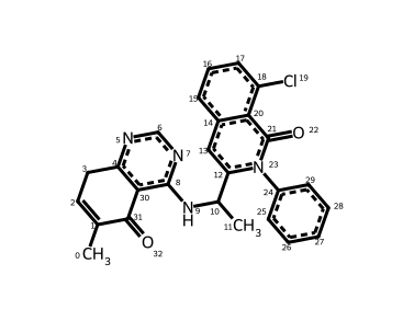 CC1=CCc2ncnc(NC(C)c3cc4cccc(Cl)c4c(=O)n3-c3ccccc3)c2C1=O